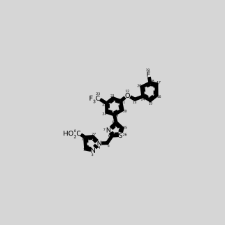 O=C(O)c1cnn(Cc2nc(-c3cc(OCc4cccc(F)c4)cc(C(F)(F)F)c3)cs2)c1